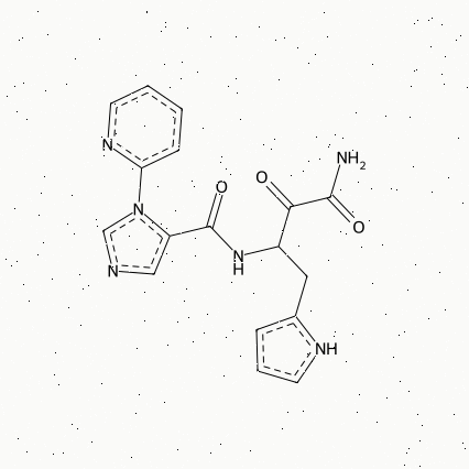 NC(=O)C(=O)C(Cc1ccc[nH]1)NC(=O)c1cncn1-c1ccccn1